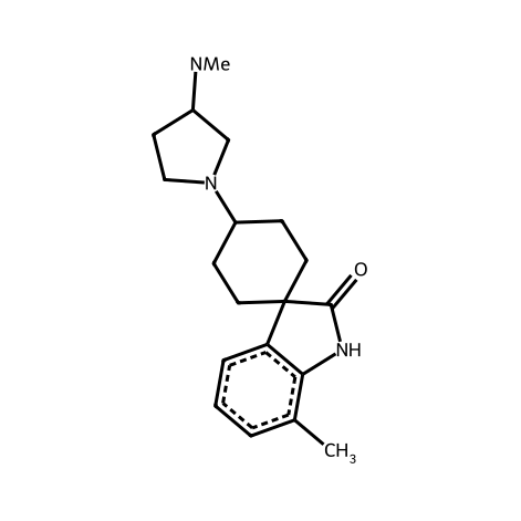 CNC1CCN(C2CCC3(CC2)C(=O)Nc2c(C)cccc23)C1